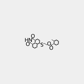 Cc1ccccc1C(=O)OCCSc1ccc2c3c(cccc13)C(=O)NC2=O